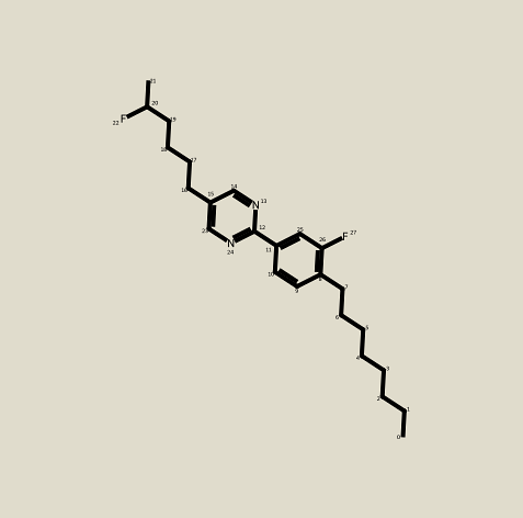 CCCCCCCCc1ccc(-c2ncc(CCCCC(C)F)cn2)cc1F